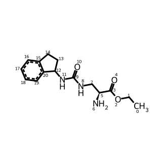 CCOC(=O)[C@@H](N)CNC(=O)NC1CCc2ccccc21